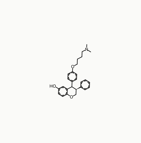 CN(C)CCCCOc1ccc(C2c3cc(O)ccc3OC[C@@H]2c2ccccc2)cc1